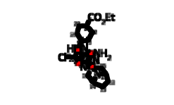 CCOC(=O)C1CCC(Cc2cnc(N3C4CCC3CN(C3=C(N)NNC(Cl)=C3)C4)nc2)CC1